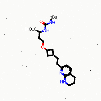 CC(C)(C)NC(=O)NC(CCOC1CC(CCc2ccc3c(n2)NCCC3)C1)C(=O)O